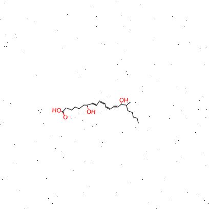 CCCCCC(C)C(O)/C=C/C=C\C=C/C=C/C(O)CCCCCC(=O)O